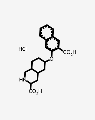 Cl.O=C(O)c1cc2ccccc2cc1OC1CCC2CNC(C(=O)O)CC2C1